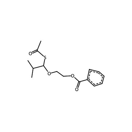 CC(=O)SC(OCCOC(=O)c1ccccc1)C(C)C